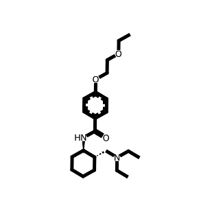 CCOCCOc1ccc(C(=O)N[C@@H]2CCCC[C@H]2CN(CC)CC)cc1